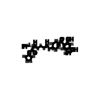 CC(C)C[C@H](NCCCNCC1CCN(C(=O)c2cc(C(C)C)c(O)cc2O)CC1)C(=O)OC1CCCC1